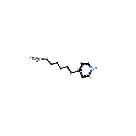 CCOC(=O)CCCCCCc1ccncc1